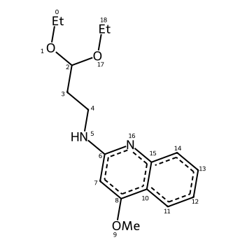 CCOC(CCNc1cc(OC)c2ccccc2n1)OCC